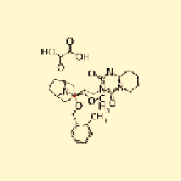 COCC1(OCc2ccccc2C)CC2CCC(C1)N2CCCn1c(=O)nc2n(c1=O)CCCC2.O=C(O)C(=O)O